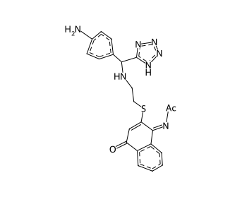 CC(=O)/N=C1\C(SCCNC(c2ccc(N)cc2)c2nnn[nH]2)=CC(=O)c2ccccc21